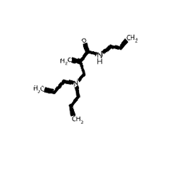 C=CCNC(=O)C(=C)CN(CC=C)CC=C